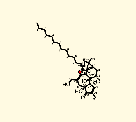 CCCCCCCCCCCCCC(=O)O[C@@]12C[C@@H](C)[C@]3(O)[C@H]4C=C(C)C(=O)[C@@]4(O)CC(CO)=C[C@H]3[C@H]1C2(C)C